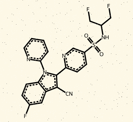 N#Cc1c(-c2ccc(S(=O)(=O)NC(CF)CF)cn2)n(-c2ccccn2)c2ccc(F)cc12